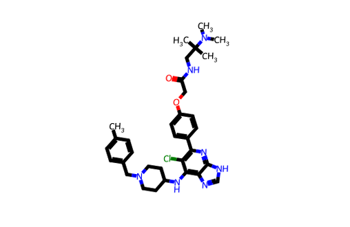 Cc1ccc(CN2CCC(Nc3c(Cl)c(-c4ccc(OCC(=O)NCC(C)(C)N(C)C)cc4)nc4[nH]cnc34)CC2)cc1